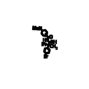 CNC1CCN(C(=O)NC(=N)C(C)(c2ccc(Br)cc2)C(C)C)CC1